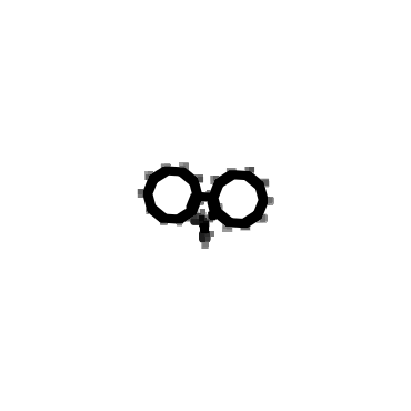 O=[N+]([O-])C1=C(C2=CCCCCCCCC2)CCCCCCCC1